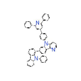 c1ccc(-c2cc(-c3ccc(-n4c5cc(-c6cccc7c8ccccc8n(-c8ccccc8)c67)ccc5c5ncccc54)cc3)cc(-c3ccccc3)n2)cc1